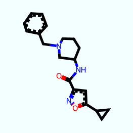 O=C(NC1CCCN(Cc2ccccc2)C1)c1cc(C2CC2)on1